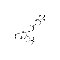 CS(=O)(=O)c1ccc(N2CCSCC2)c(C(=O)N2CCN(c3ccc(C(F)(F)F)cc3)CC2)c1